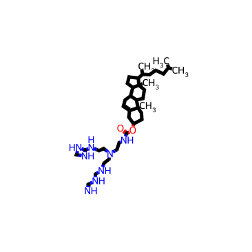 CC(C)CCCC(C)C1CCC2C3CC=C4CC(OC(=O)NCCN(CCNCNC=N)CCNC5NCN5)CCC4(C)C3CCC12C